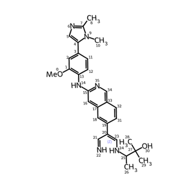 COc1cc(-c2cnc(C)n2C)ccc1Nc1cc2cc(/C(C=N)=C/NC(C)C(C)(C)O)ccc2cn1